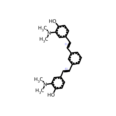 CN(C)c1cc(/C=C/c2cccc(/C=C/c3ccc(O)c(N(C)C)c3)c2)ccc1O